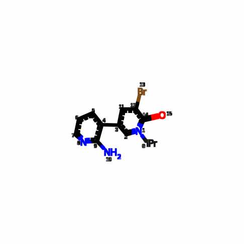 CC(C)n1cc(-c2cccnc2N)cc(Br)c1=O